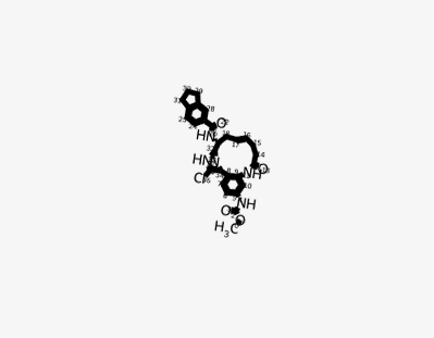 COC(=O)Nc1ccc2c(c1)NC(=O)CC/C=C/C[C@H](NC(=O)c1ccc3c(c1)CCC3)c1nc-2c(Cl)[nH]1